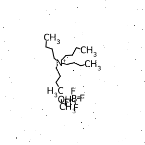 CCCC[N+](CCCC)(CCCC)CCCC.CO.F[B-](F)(F)F